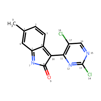 Cc1ccc2c(c1)=NC(=O)C=2c1nc(Cl)ncc1Cl